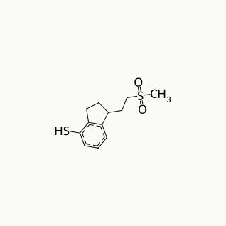 CS(=O)(=O)CCC1CCc2c(S)cccc21